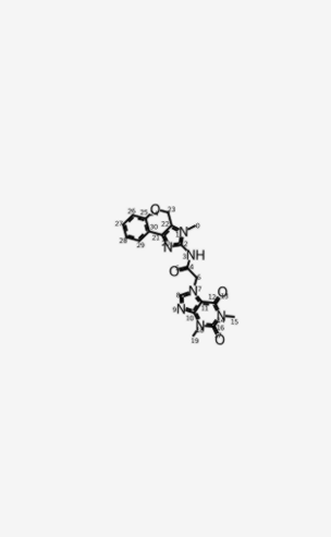 Cn1c(NC(=O)Cn2cnc3c2c(=O)n(C)c(=O)n3C)nc2c1COc1ccccc1-2